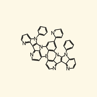 c1ccc(-n2c3cccnc3c3c4nccc5c4n(c32)-c2cc(-c3ccccn3)cc3c2B5c2ccnc4c5c6ncccc6n(-c6ccccc6)c5n-3c24)cc1